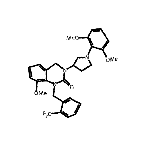 COc1cccc(OC)c1N1CCC(N2Cc3cccc(OC)c3N(Cc3ccccc3C(F)(F)F)C2=O)C1